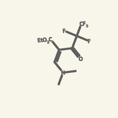 CCOC(=O)C(=CN(C)C)C(=O)C(F)(F)C(F)(F)F